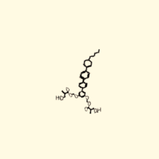 C=C(CO)C(=O)OCOc1cc(OCOC(=O)C(=C)CO)cc(-c2ccc(-c3ccc(C4=CCC(CCCCC)CC4)cc3)cc2)c1